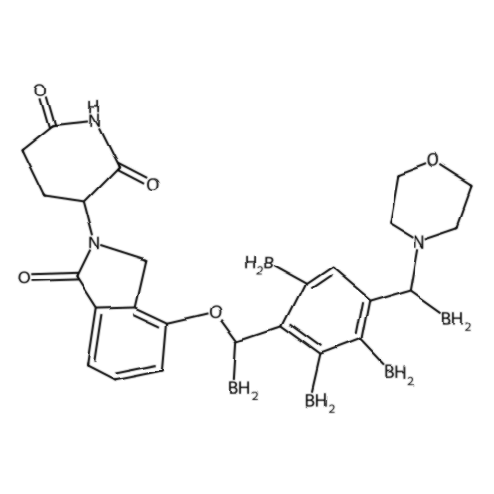 Bc1cc(C(B)N2CCOCC2)c(B)c(B)c1C(B)Oc1cccc2c1CN(C1CCC(=O)NC1=O)C2=O